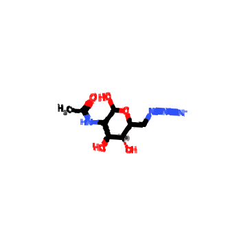 CC(=O)NC1C(O)OC(CN=[N+]=[N-])[C@H](O)C1O